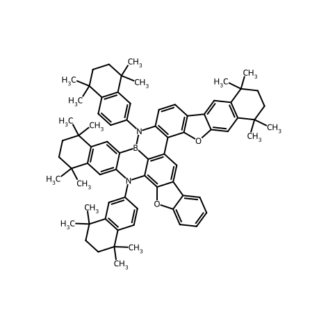 CC1(C)CCC(C)(C)c2cc(N3B4c5cc6c(cc5N(c5ccc7c(c5)C(C)(C)CCC7(C)C)c5c4c(cc4c5oc5ccccc54)-c4c3ccc3c4oc4cc5c(cc43)C(C)(C)CCC5(C)C)C(C)(C)CCC6(C)C)ccc21